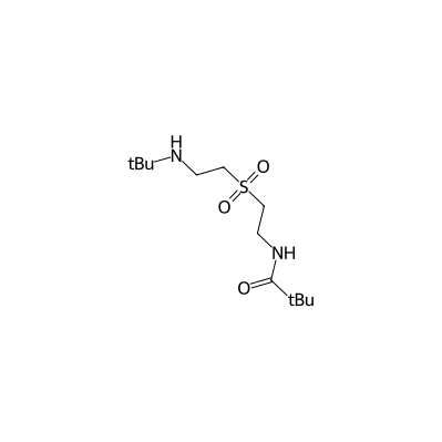 CC(C)(C)NCCS(=O)(=O)CCNC(=O)C(C)(C)C